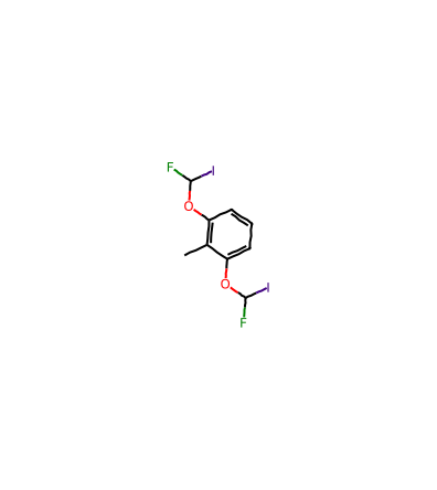 Cc1c(OC(F)I)cccc1OC(F)I